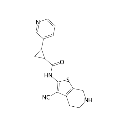 N#Cc1c(NC(=O)C2CC2c2cccnc2)sc2c1CCNC2